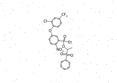 CCP(=O)(OC(C)S(=O)(=O)c1ccccc1)c1cc(Oc2ccc(C(F)(F)F)cc2Cl)ccc1[N+](=O)[O-]